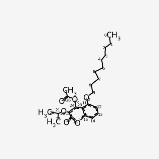 CCCCCCCCCCOc1cccc2oc(=O)c(OC(C)C)c(OC(C)=O)c12